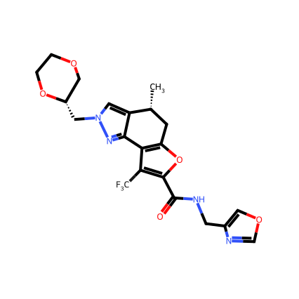 C[C@@H]1Cc2oc(C(=O)NCc3cocn3)c(C(F)(F)F)c2-c2nn(C[C@H]3COCCO3)cc21